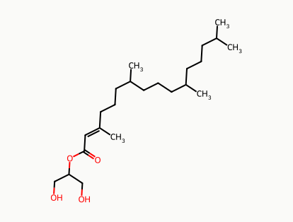 C/C(=C\C(=O)OC(CO)CO)CCCC(C)CCCC(C)CCCC(C)C